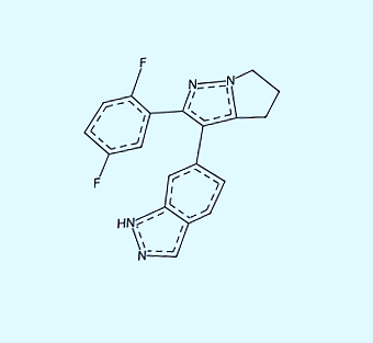 Fc1ccc(F)c(-c2nn3c(c2-c2ccc4cn[nH]c4c2)CCC3)c1